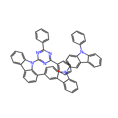 c1ccc(-c2nc(-c3ccccc3)nc(-n3c4ccccc4c4cccc(-c5ccc6c(c5)c5ccccc5n6-c5ccc6c(c5)c5ccccc5n6-c5ccccc5)c43)n2)cc1